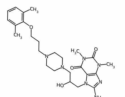 CCCCNc1nc2c(c(=O)n(C)c(=O)n2C)n1CC(O)CN1CCN(CCCOc2c(C)cccc2C)CC1